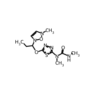 CCC(Oc1nnc(N(C)C(=O)NC)s1)N1C=CN(C)O1